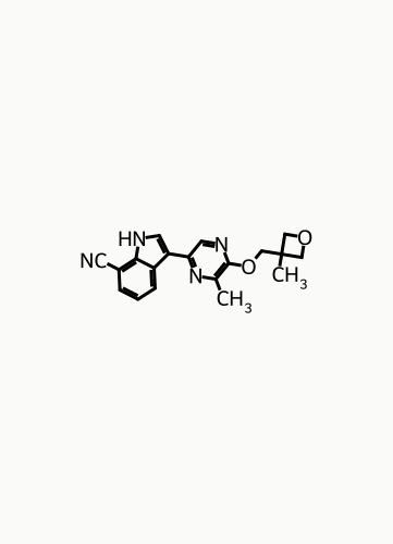 Cc1nc(-c2c[nH]c3c(C#N)cccc23)cnc1OCC1(C)COC1